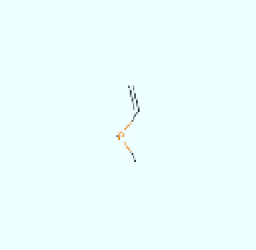 C=C[P]C